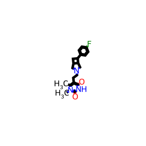 Cc1c(CCN2CC3CC(c4ccc(F)cc4)C3C2)c(=O)[nH]c(=O)n1C